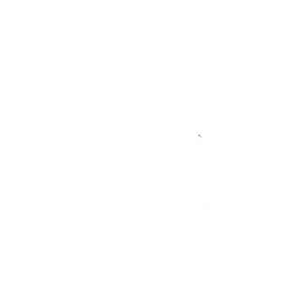 Cc1ccccc1[C@H](CCC(=O)O)Oc1cc(OCc2cccc(CCC(=O)O)c2)ccc1C#N